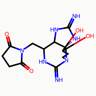 N=C1NC2C(CN3C(=O)CCC3=O)NC(=N)N3CCC(O)(O)[C@@]23N1